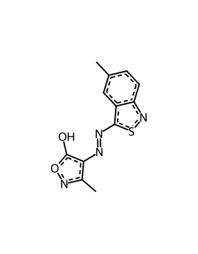 Cc1ccc2nsc(N=Nc3c(C)noc3O)c2c1